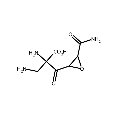 NCC(N)(C(=O)O)C(=O)C1OC1C(N)=O